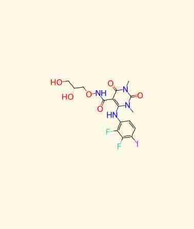 Cn1c(Nc2ccc(I)c(F)c2F)c(C(=O)NOC[C@H](O)CO)c(=O)n(C)c1=O